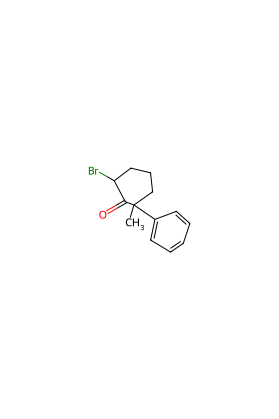 CC1(c2ccccc2)CCCC(Br)C1=O